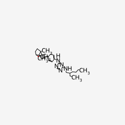 CCCCC(CC)CNc1ncnc(NC2=CCC(=C=C3CC4CCC3(C)C4(C)C)C=C2)n1